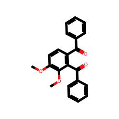 COc1ccc(C(=O)c2ccccc2)c(C(=O)c2ccccc2)c1OC